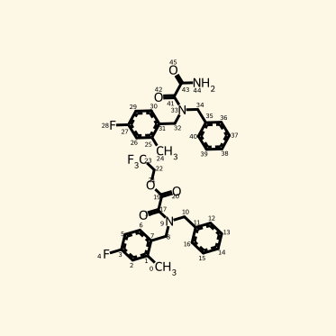 Cc1cc(F)ccc1CN(Cc1ccccc1)C(=O)C(=O)OCC(F)(F)F.Cc1cc(F)ccc1CN(Cc1ccccc1)C(=O)C(N)=O